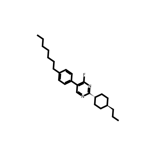 CCCCCCCc1ccc(-c2cnc([C@H]3CC[C@H](CCC)CC3)nc2F)cc1